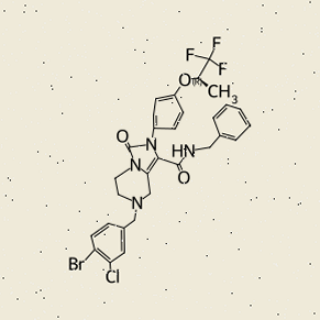 C[C@@H](Oc1ccc(-n2c(C(=O)NCc3ccccc3)c3n(c2=O)CCN(Cc2ccc(Br)c(Cl)c2)C3)cc1)C(F)(F)F